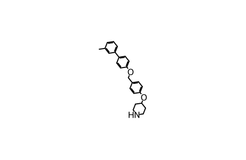 Cc1cccc(-c2ccc(OCc3ccc(OC4CCNCC4)cc3)cc2)c1